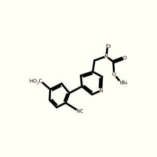 [C-]#[N+]c1ccc(C(=O)O)cc1-c1cncc(CN(CC)C(=O)OC(C)(C)C)c1